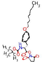 CCCCCCCCOc1ccc(C[C@@H](NC(=O)OC(C)(C)C)C(=O)ON2C(=O)CCC2=O)cc1